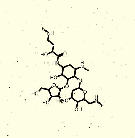 O=C(NC1CC(NF)C(OC2CC(O)C(O)C(CNF)O2)C(OC2OC(CO)C(O)C2O)C1O)C(O)CCNF